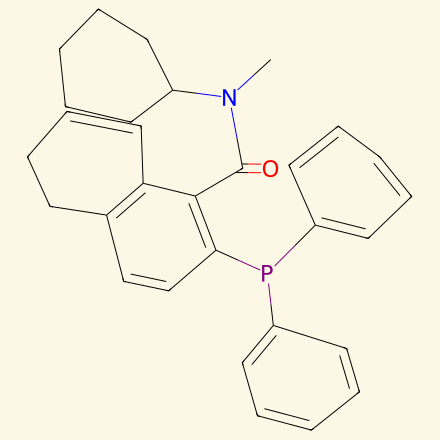 CN(C(=O)c1c(P(c2ccccc2)c2ccccc2)ccc2c1C=CCC2)C1CCCCC1